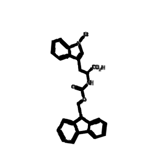 CCn1cc(C[C@H](NC(=O)OCC2c3ccccc3-c3ccccc32)C(=O)O)c2ccccc21